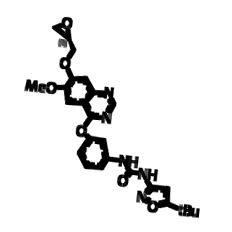 COc1cc2c(Oc3cccc(NC(=O)Nc4cc(C(C)(C)C)on4)c3)ncnc2cc1OC[C@H]1CO1